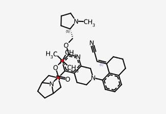 CN1CCC[C@H]1COc1nc2c(c(N3CC4CCC(C3)N4C(=O)OC(C)(C)C)n1)CCN(c1cccc3c1/C(=C/C#N)CCC3)C2